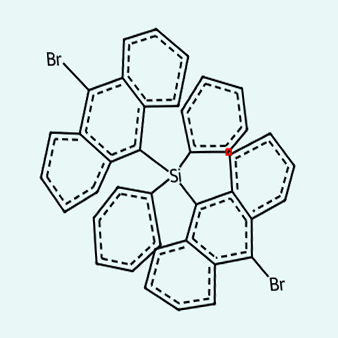 Brc1c2ccccc2c([Si](c2ccccc2)(c2ccccc2)c2c3ccccc3c(Br)c3ccccc23)c2ccccc12